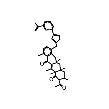 C=C(C)c1cccc(C2=CCC(Cc3ccc(C)c4c3C[C@]3(C)C[C@]5(C)CC(C)C(C(C)=O)C(=O)[C@]5(C)C(C)=C3C4=O)=C2)c1